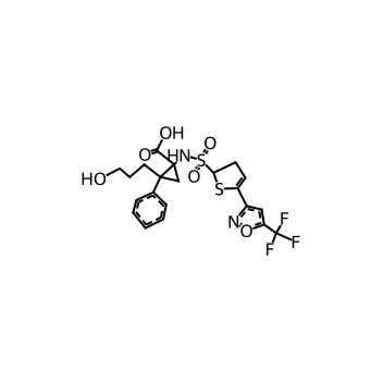 O=C(O)C1(NS(=O)(=O)C2CC=C(c3cc(C(F)(F)F)on3)S2)CC1(CCCO)c1ccccc1